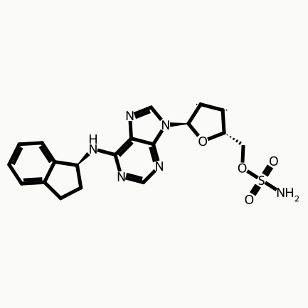 NS(=O)(=O)OC[C@H]1[CH][CH][C@H](n2cnc3c(N[C@H]4CCc5ccccc54)ncnc32)O1